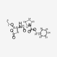 CCO[C@@H]1OC(=O)C=C1NC(=O)[C@@H]1CCCN1C(=O)OCc1ccccc1